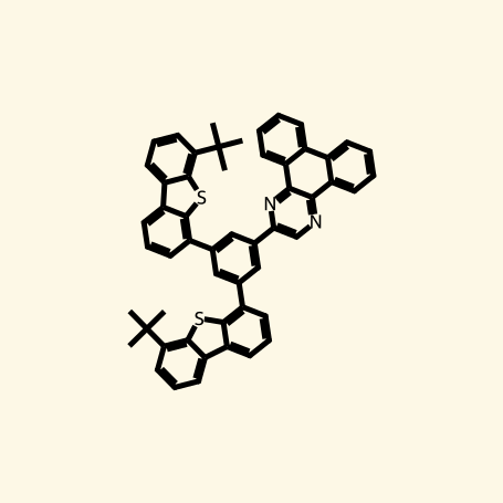 CC(C)(C)c1cccc2c1sc1c(-c3cc(-c4cnc5c6ccccc6c6ccccc6c5n4)cc(-c4cccc5c4sc4c(C(C)(C)C)cccc45)c3)cccc12